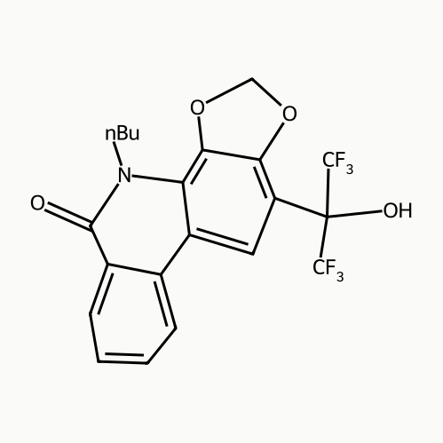 CCCCn1c(=O)c2ccccc2c2cc(C(O)(C(F)(F)F)C(F)(F)F)c3c(c21)OCO3